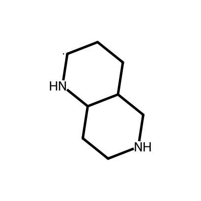 [CH]1CCC2CNCCC2N1